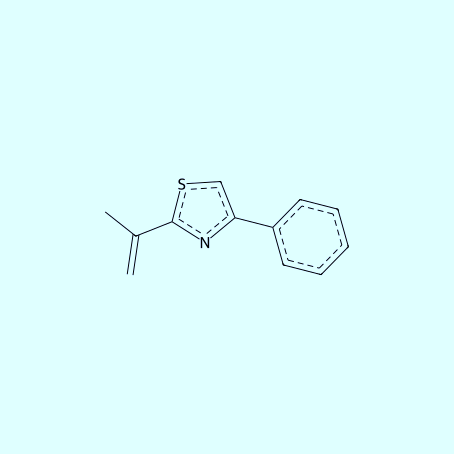 C=C(C)c1nc(-c2ccccc2)cs1